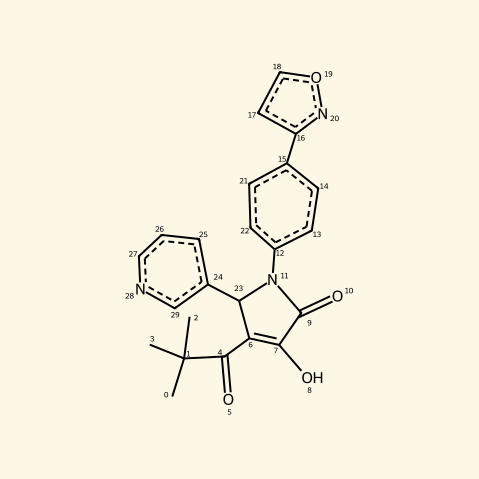 CC(C)(C)C(=O)C1=C(O)C(=O)N(c2ccc(-c3ccon3)cc2)C1c1cccnc1